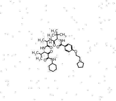 CC(NC(=O)[C@@H](NC(=O)c1ccc(OCCN2CCCC2)cc1)C(C)(C)C)C(=O)N[C@H](C(=O)C(=O)NC1CCCCC1)C(C)C